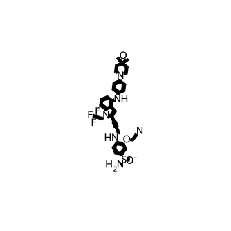 N#CCOc1cc([S+](N)[O-])ccc1NCC#Cc1cc2c(Nc3ccc(N4CCC5(CC4)COC5)cc3)cccc2n1CC(F)(F)F